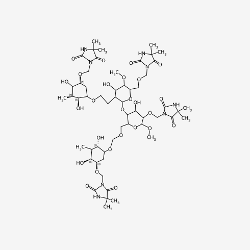 COC1OC(COCOC2C[C@@H](OCN3C(=O)NC(C)(C)C3=O)[C@@H](O)C(C)[C@@H]2O)C(OC2OC(COCN3C(=O)NC(C)(C)C3=O)C(OC)C(O)C2CCOC2C[C@H](OCN3C(=O)NC(C)(C)C3=O)C(O)[C@H](C)[C@@H]2O)C(O)C1OCN1C(=O)NC(C)(C)C1=O